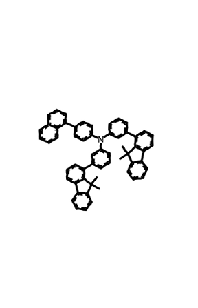 CC1(C)c2ccccc2-c2cccc(-c3cccc(N(c4ccc(-c5cccc6ccccc56)cc4)c4cccc(-c5cccc6c5C(C)(C)c5ccccc5-6)c4)c3)c21